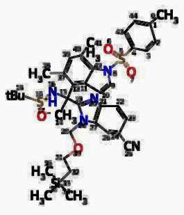 Cc1ccc(S(=O)(=O)n2ccc3c(C(C)(N[S+]([O-])C(C)(C)C)c4nc5ccc(C#N)cc5n4COCC[Si](C)(C)C)c(C)cc(C)c32)cc1